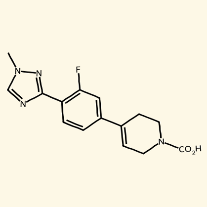 Cn1cnc(-c2ccc(C3=CCN(C(=O)O)CC3)cc2F)n1